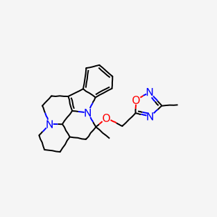 Cc1noc(COC2(C)CC3CCCN4CCc5c(n2c2ccccc52)C34)n1